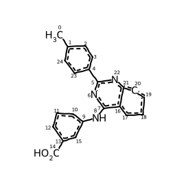 Cc1ccc(-c2nc(Nc3cccc(C(=O)O)c3)c3ccccc3n2)cc1